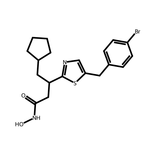 O=C(CC(CC1CCCC1)c1ncc(Cc2ccc(Br)cc2)s1)NO